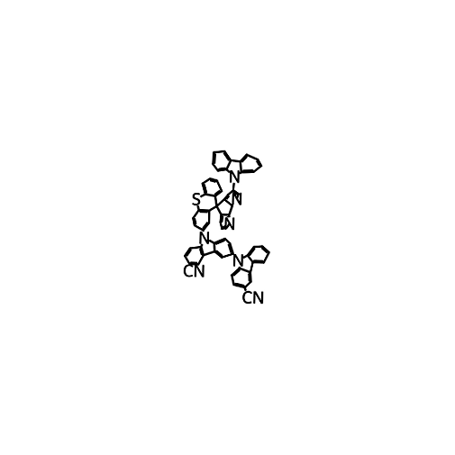 N#Cc1ccc2c(c1)c1ccccc1n2-c1ccc2c(c1)c1cc(C#N)ccc1n2-c1ccc2c(c1)C1(c3ccccc3S2)c2cccnc2-c2ncc(-n3c4ccccc4c4ccccc43)cc21